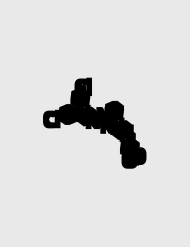 Clc1ccc(C(c2ccc(Cl)cc2)N2CCN(Cc3nc(N4CCN(Cc5ccc6c(c5)OCO6)CC4)c4ccccc4n3)CC2)cc1